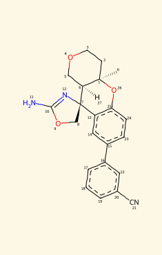 C[C@@]12CCOC[C@@H]1[C@]1(COC(N)=N1)c1cc(-c3cccc(C#N)c3)ccc1O2